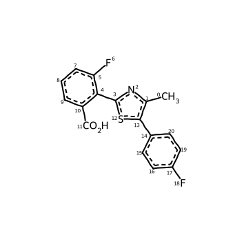 Cc1nc(-c2c(F)cccc2C(=O)O)sc1-c1ccc(F)cc1